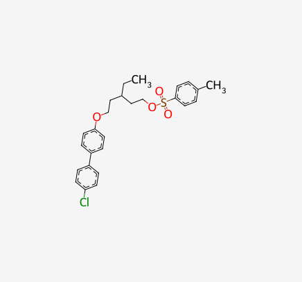 CCC(CCOc1ccc(-c2ccc(Cl)cc2)cc1)CCOS(=O)(=O)c1ccc(C)cc1